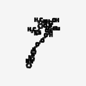 Cc1ncsc1-c1ccc([C@H](C)NC(=O)[C@@H]2C[C@@H](O)CN2C(=O)C(NC(=O)COCCOCCOCCN2CCN(c3ccn4c(n3)nc3ccccc34)CC2)C(C)(C)C)cc1